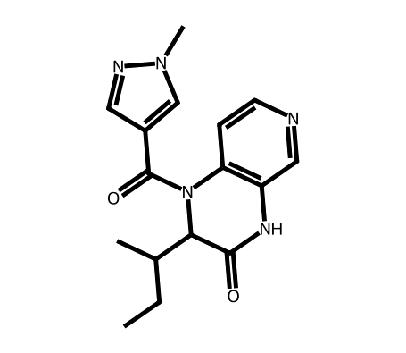 CCC(C)C1C(=O)Nc2cnccc2N1C(=O)c1cnn(C)c1